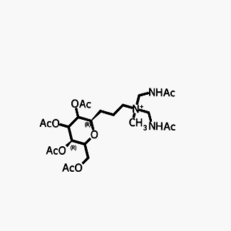 CC(=O)NC[N+](C)(CCC[C@H]1OC(COC(C)=O)[C@@H](OC(C)=O)C(OC(C)=O)C1OC(C)=O)CNC(C)=O